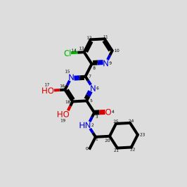 CC(NC(=O)c1nc(-c2ncccc2Cl)nc(O)c1O)C1CCCCC1